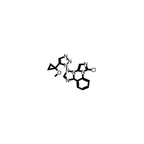 COC1(c2cnnn2N2C=NC3c4ccccc4-n4c(cnc4Cl)N32)CC1